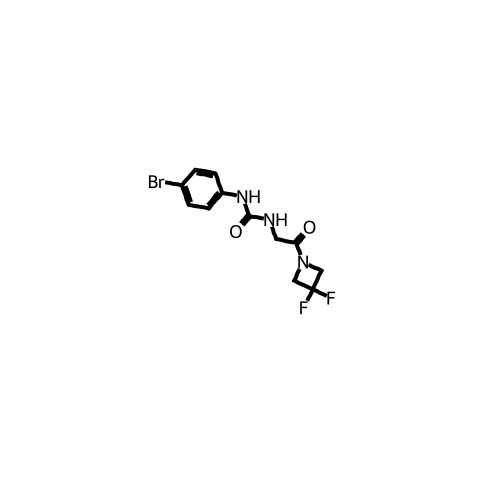 O=C(NCC(=O)N1CC(F)(F)C1)Nc1ccc(Br)cc1